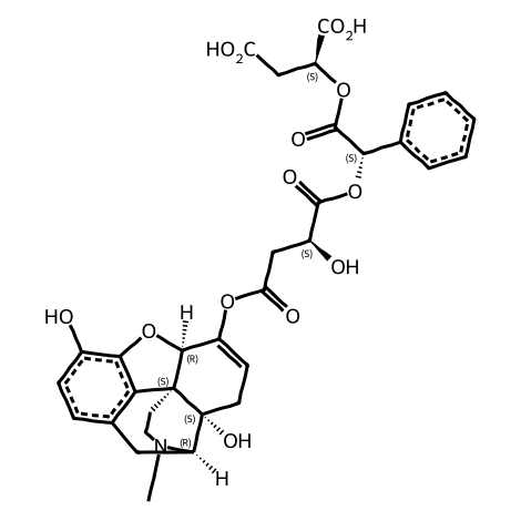 CN1CC[C@]23c4c5ccc(O)c4O[C@H]2C(OC(=O)C[C@H](O)C(=O)O[C@H](C(=O)O[C@@H](CC(=O)O)C(=O)O)c2ccccc2)=CC[C@@]3(O)[C@H]1C5